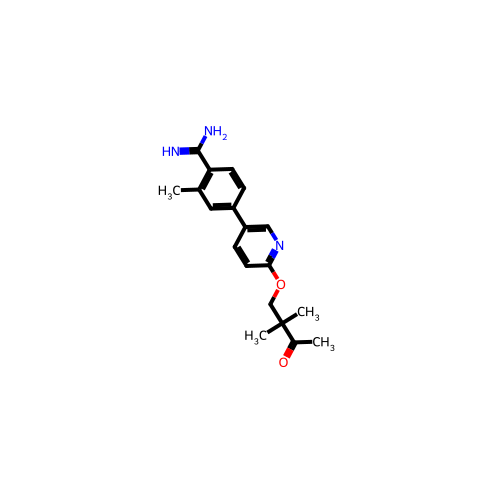 CC(=O)C(C)(C)COc1ccc(-c2ccc(C(=N)N)c(C)c2)cn1